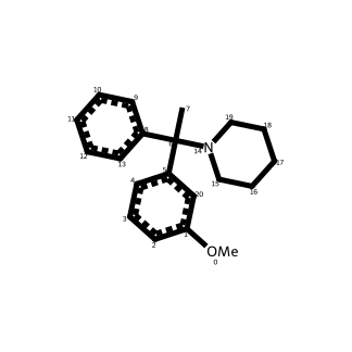 COc1cccc(C(C)(c2ccccc2)N2CCCCC2)c1